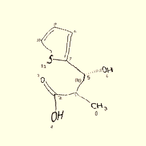 CC(C(=O)O)[C@@H](O)c1cccs1